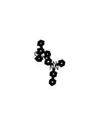 c1ccc(-c2ccc(-c3nc(-c4ccccc4)nc(-c4ccc5c(c4)c4ccccc4n5-c4cccc5oc6cc(-c7ccccc7)ccc6c45)n3)cc2)cc1